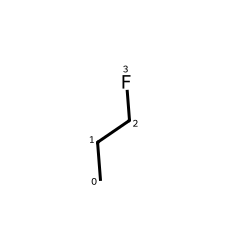 CCCF